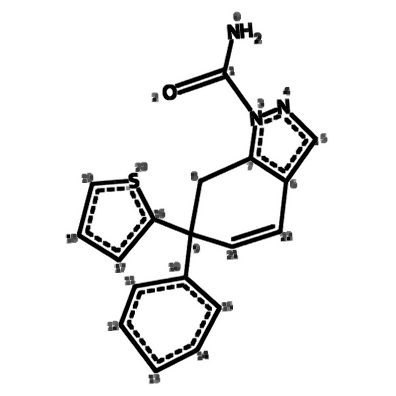 NC(=O)n1n[c]c2c1CC(c1ccccc1)(c1cccs1)C=C2